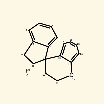 [P].c1ccc2c(c1)CCC21CCOc2ccccc21